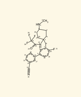 CNC1CCC(Cc2cc(-c3cccc(C#N)c3)ccc2F)(NC(=O)C(F)(F)F)CC1